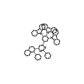 c1ccc(-c2nc(-c3cc(-n4c5ccccc5c5ccccc54)c(-n4c5ccccc5c5ccccc54)c(-n4c5ccccc5c5ccccc54)c3)cc(-c3ccc4ccccc4c3-c3ccccc3)n2)cc1